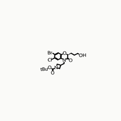 CC(C)(C)OC(=O)N1CC(CN2C(=O)[C@H](CCCO)Oc3cc(Br)c(Cl)cc32)C1